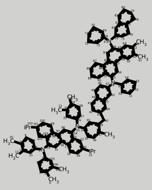 Cc1ccc(N(c2ccc(C)c(C)c2)c2cc3c4ccc(C(C)C)cc4c(N(c4ccc(C)c(C)c4)c4ccc(C)c(Cc5ccc6ccc(N(c7ccccc7)c7cc8c9cc(C)c(C)cc9c(N(c9ccccc9)c9ccc%10ccccc%10c9)cc8c8ccccc78)cc6c5)c4)cc3c3ccc(C(C)C)cc23)cc1C